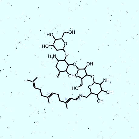 CC(C)=CCC/C(C)=C/CC/C(C)=C/C=N/CC1OC(OC2C(CO)OC(OC3C(O)C(C)CC(N)C3OC3CC(O)C(O)C(CO)O3)C2O)C(N)C(O)C1O